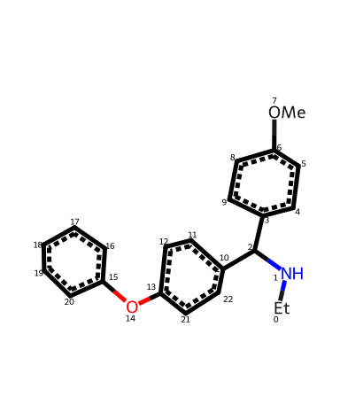 CCNC(c1ccc(OC)cc1)c1ccc(Oc2ccccc2)cc1